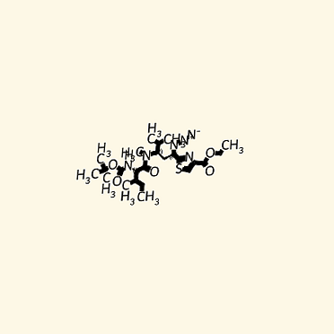 CCOC(=O)c1csc([C@@H](C[C@H](C(C)C)N(C)C(=O)[C@@H](NC(=O)OC(C)(C)C)C(C)CC)N=[N+]=[N-])n1